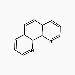 C1=CC2C=CC3C=CC=NC3C2N=C1